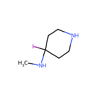 CNC1(I)CCNCC1